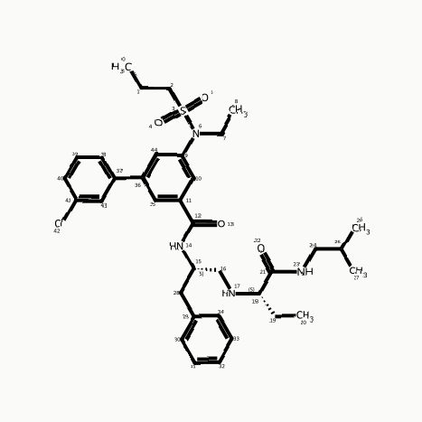 CCCS(=O)(=O)N(CC)c1cc(C(=O)N[C@H](CN[C@@H](CC)C(=O)NCC(C)C)Cc2ccccc2)cc(-c2cccc(Cl)c2)c1